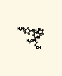 CN(CCO)c1cc(N[C@H]2CC[C@H](N)C2)n2nccc2n1